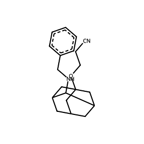 N#CCCOC12CC3CC(C1)C(NCc1ccccc1)C(C3)C2